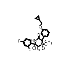 C[C@@]1(c2cccc(OCC3CC3)c2)C(=N)N[C@](C)(c2ccc(F)cc2F)CS1(=O)=O